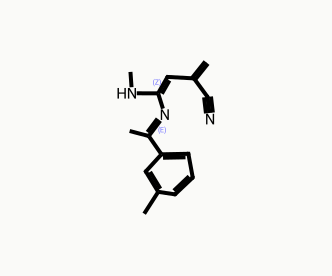 C=C(C#N)/C=C(\N=C(/C)c1cccc(C)c1)NC